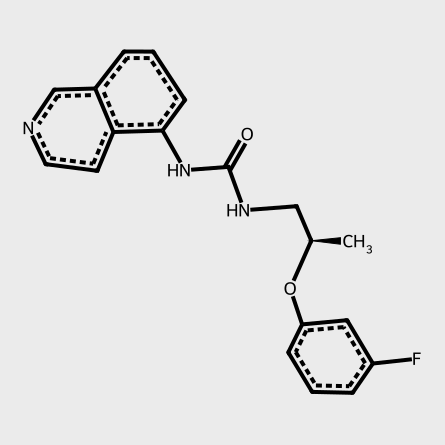 C[C@H](CNC(=O)Nc1cccc2cnccc12)Oc1cccc(F)c1